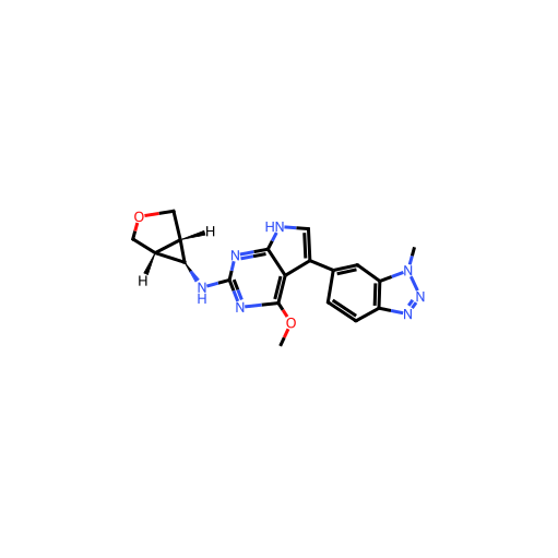 COc1nc(N[C@H]2[C@@H]3COC[C@@H]32)nc2[nH]cc(-c3ccc4nnn(C)c4c3)c12